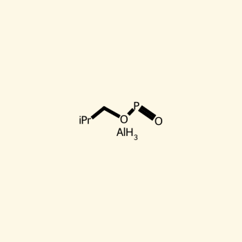 CC(C)COP=O.[AlH3]